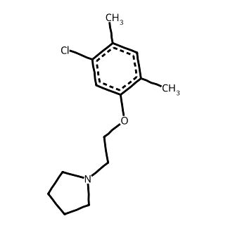 Cc1cc(C)c(OCCN2CCCC2)cc1Cl